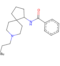 CC(C)(C)CCN1CCC2(CCCC2NC(=O)c2ccccc2)CC1